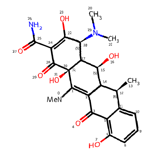 CNC1=C2C(=O)c3c(O)cccc3[C@H](C)C2[C@H](O)C2[C@H](N(C)C)C(O)=C(C(N)=O)C(=O)[C@@]12O